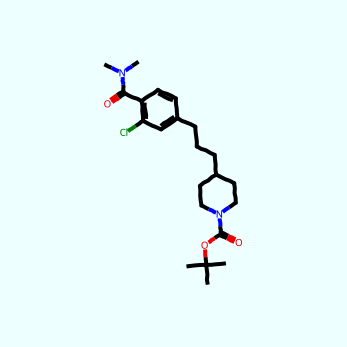 CN(C)C(=O)c1ccc(CCCC2CCN(C(=O)OC(C)(C)C)CC2)cc1Cl